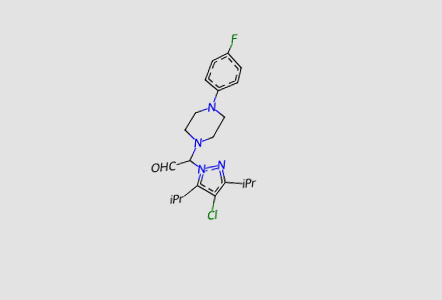 CC(C)c1nn(C(C=O)N2CCN(c3ccc(F)cc3)CC2)c(C(C)C)c1Cl